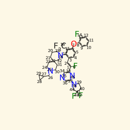 F/C(=C\c1ccc(Oc2ccccc2F)c(C(F)(F)F)c1N1CCCC2(CCN(CC3CC3)CC2)C1)c1cncc(N2CCC(F)(F)C2)n1